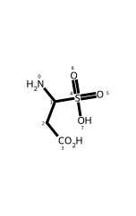 NC(CC(=O)O)S(=O)(=O)O